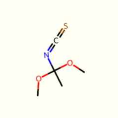 COC(C)(N=C=S)OC